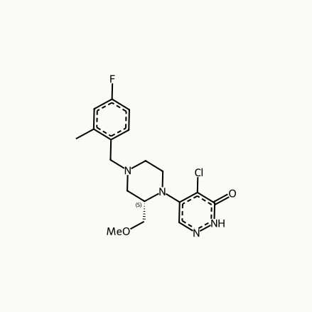 COC[C@@H]1CN(Cc2ccc(F)cc2C)CCN1c1cn[nH]c(=O)c1Cl